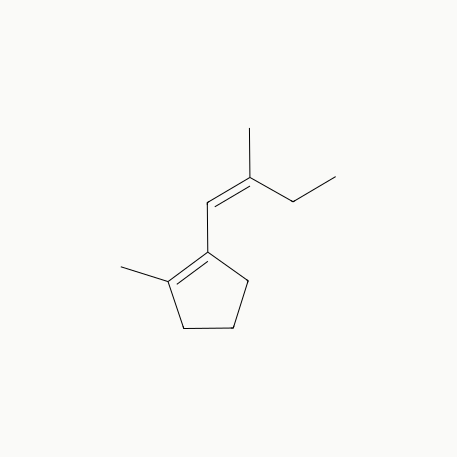 CC/C(C)=C\C1=C(C)CCC1